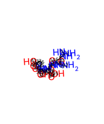 N=C(N)NCCC[C@H](NC(=O)CN)C(=O)NCC(=O)N[C@@H](CCC(=O)O)C(=O)N[C@@H](CO)C(=O)N1CCC[C@H]1C(=O)O